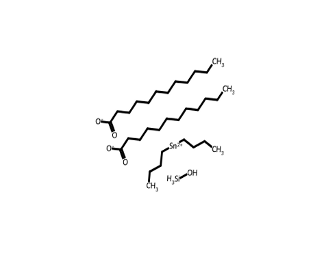 CCCCCCCCCCCC(=O)[O-].CCCCCCCCCCCC(=O)[O-].CCC[CH2][Sn+2][CH2]CCC.O[SiH3]